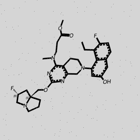 CCc1c(F)ccc2cc(O)cc(N3CCc4c(nc(OC[C@@]56CCCN5C[C@H](F)C6)nc4N(C)CCC(=O)OC)C3)c12